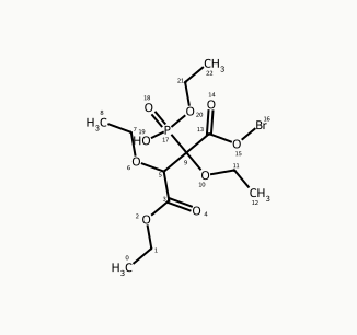 CCOC(=O)C(OCC)C(OCC)(C(=O)OBr)P(=O)(O)OCC